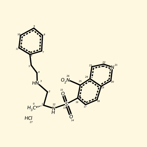 C[C@H](CNCCc1ccccc1)NS(=O)(=O)c1ccc2cnccc2c1[N+](=O)[O-].Cl